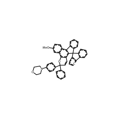 COc1ccc2c3c(c4c(c2c1)OC(c1ccccc1)(c1ccc(N2CCOCC2)cc1)C=C4)C1(c2ccccc2-c2ccccc21)c1ccccc1-3